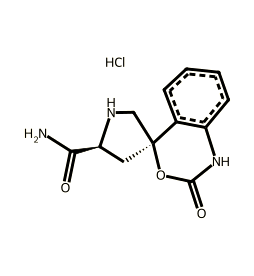 Cl.NC(=O)[C@@H]1C[C@@]2(CN1)OC(=O)Nc1ccccc12